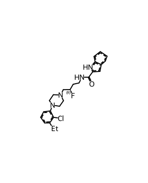 CCc1cccc(N2CCN(C[C@H](F)CCNC(=O)c3cc4ccccc4[nH]3)CC2)c1Cl